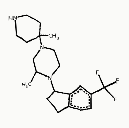 CC1CN(C2(C)CCNCC2)CCN1C1CCc2ccc(C(F)(F)F)cc21